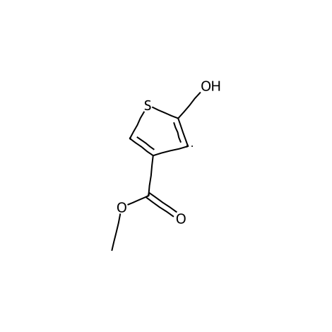 COC(=O)c1[c]c(O)sc1